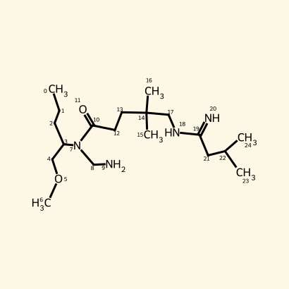 CCCC(COC)N(CN)C(=O)CCC(C)(C)CNC(=N)CC(C)C